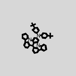 CC(C)(C)c1ccc(N(c2ccc(C(C)(C)C)cc2)c2cc3c4c(c2)-n2c5ccccc5c5cccc(c52)C4c2cccc4c5ccccc5n-3c24)cc1